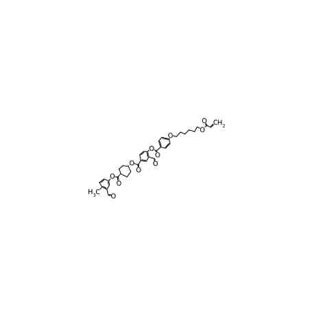 C=CC(=O)OCCCCCCOc1ccc(C(=O)Oc2ccc(C(=O)O[C@H]3CC[C@H](C(=O)Oc4ccc(C)c(C=O)c4)CC3)cc2C=O)cc1